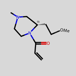 C=CC(=O)N1CCN(C)C[C@@H]1CCOC